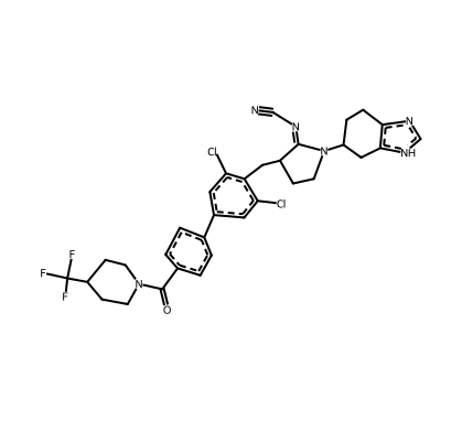 N#CN=C1C(Cc2c(Cl)cc(-c3ccc(C(=O)N4CCC(C(F)(F)F)CC4)cc3)cc2Cl)CCN1C1CCc2nc[nH]c2C1